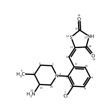 CC1CCN(c2c(Cl)cccc2C=C2SC(=O)NC2=O)CC1N